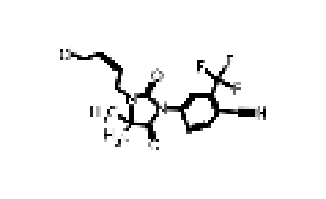 CC1(C)C(=O)N(c2ccc(C#N)c(C(F)(F)F)c2)C(=O)N1C/C=C\CCl